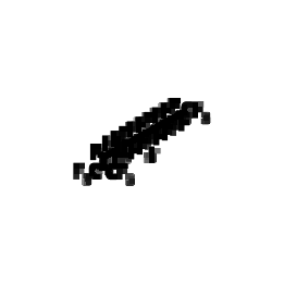 FC(=C(C(F)(F)F)C(F)(F)F)C(F)(F)[N+](F)(F)C(F)(F)C(F)(F)C(F)(F)C(F)(F)C(F)(F)C(F)(F)C(F)(F)C(F)(F)F.[I-]